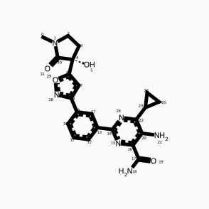 CN1CC[C@@](O)(c2cc(-c3cccc(-c4nc(C(N)=O)c(N)c(C5CC5)n4)c3)no2)C1=O